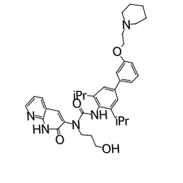 CC(C)c1cc(-c2cccc(OCCN3CCCCC3)c2)cc(C(C)C)c1NC(=O)N(CCCO)c1cc2cccnc2[nH]c1=O